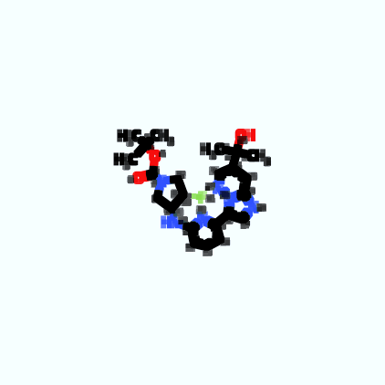 CC(C)(C)OC(=O)N1C[C@H](Nc2cccc(-c3cnc4cc(C(C)(C)O)cnn34)n2)[C@@H](F)C1